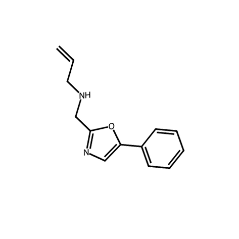 C=CCNCc1ncc(-c2ccccc2)o1